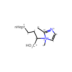 CCCCCCCCCC(C(=O)O)[N+]1(C)C=CN=C1C